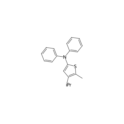 Cc1sc(N(c2ccccc2)c2ccccc2)cc1C(C)C